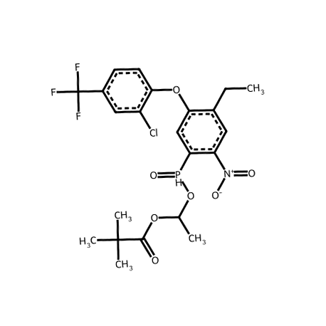 CCc1cc([N+](=O)[O-])c([PH](=O)OC(C)OC(=O)C(C)(C)C)cc1Oc1ccc(C(F)(F)F)cc1Cl